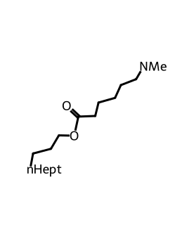 CCCCCCCCCCOC(=O)CCCCCNC